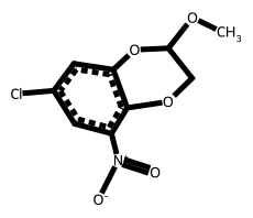 COC1COc2c(cc(Cl)cc2[N+](=O)[O-])O1